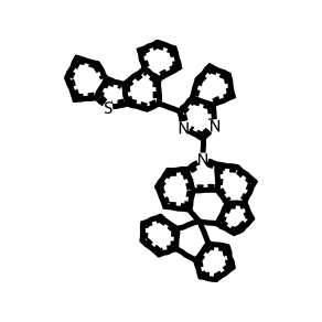 c1ccc2c(c1)-c1ccccc1C21c2cccc3ccc4c(c23)c2c1cccc2n4-c1nc(-c2cc3sc4ccccc4c3c3ccccc23)c2ccccc2n1